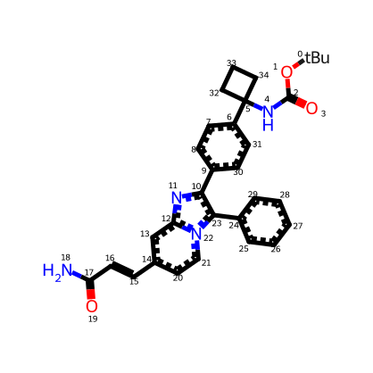 CC(C)(C)OC(=O)NC1(c2ccc(-c3nc4cc(C=CC(N)=O)ccn4c3-c3ccccc3)cc2)CCC1